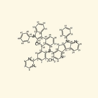 Cc1cc(-c2ncccn2)cc2c1B(c1ccnc3c1Cc1c-3c3cccnc3n1-c1ccccc1)c1cccc(-c3c(C)n(-c4ccccc4)c4ccccc34)c1C2